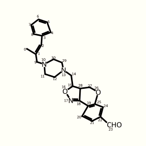 CC(=Cc1ccccc1)CN1CCN(CC2ON=C3c4ccc(C=O)cc4OCC32)CC1